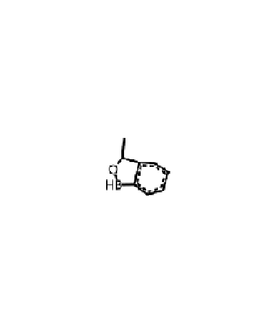 CC1OBc2ccccc21